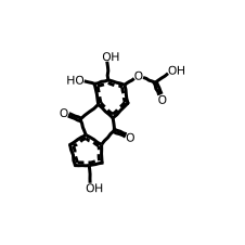 O=C(O)Oc1cc2c(c(O)c1O)C(=O)c1ccc(O)cc1C2=O